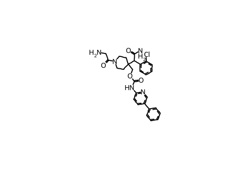 NCC(=O)N1CCC(COC(=O)Nc2ccc(-c3ccccc3)cn2)(C(C(N)=O)c2ccccc2Cl)CC1